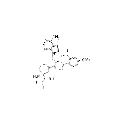 COc1ccc(-c2cc(Cn3cnc4c(N)ncnc43)c(N3CCC[C@](N)([C@H](O)C(F)F)C3)cn2)c(C(F)F)c1